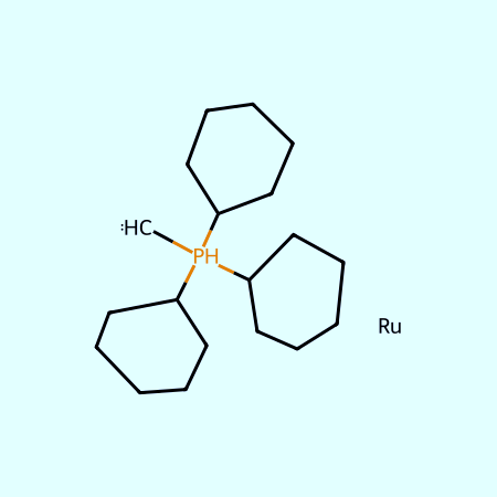 [CH][PH](C1CCCCC1)(C1CCCCC1)C1CCCCC1.[Ru]